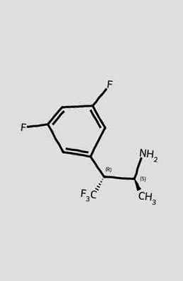 C[C@H](N)[C@@H](c1cc(F)cc(F)c1)C(F)(F)F